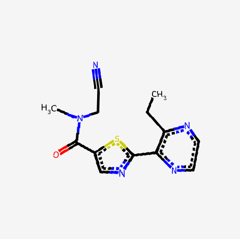 CCc1nccnc1-c1ncc(C(=O)N(C)CC#N)s1